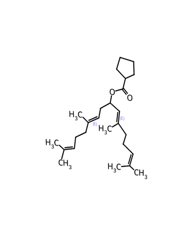 CC(C)=CCC/C(C)=C/CC(/C=C(\C)CCC=C(C)C)OC(=O)C1CCCC1